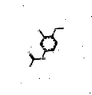 CCc1ccc(NC(C)=O)cc1Cl